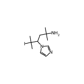 CC(C)(N)CC(n1ccnc1)C(C)(C)I